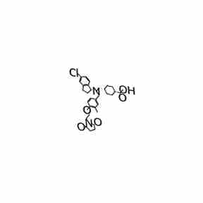 Cc1cc(CN(C[C@H]2CC[C@H](C(=O)O)CC2)[C@@H]2CCc3cc(Cl)ccc32)ccc1OCCN1C(=O)CCC1=O